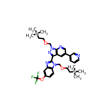 C[Si](C)(C)CCOCn1nc(-c2nc3cc(OC(F)(F)F)ccc3n2COCC[Si](C)(C)C)c2cc(-c3cccnc3)cnc21